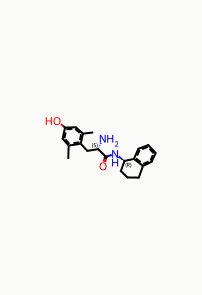 Cc1cc(O)cc(C)c1C[C@H](N)C(=O)N[C@@H]1CCCc2ccccc21